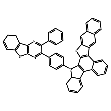 C1=CCC2C(=C1)c1c(c3sc4cc5ccccc5cc4c3c3ccccc13)N2c1ccc(-c2nc3sc4c(c3nc2-c2ccccc2)CCC=C4)cc1